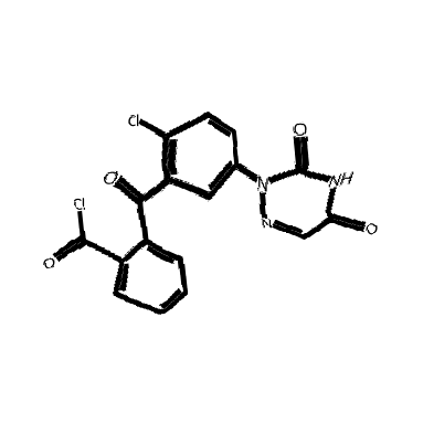 O=C(Cl)c1ccccc1C(=O)c1cc(-n2ncc(=O)[nH]c2=O)ccc1Cl